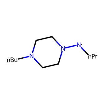 CCCCN1CCN([N]CCC)CC1